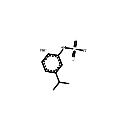 CC(C)c1cccc(NS(=O)(=O)[O-])c1.[Na+]